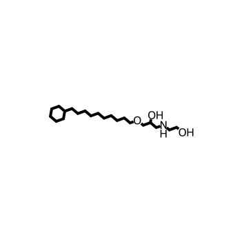 OCCNCC(O)COCCCCCCCCCCC1CCCCC1